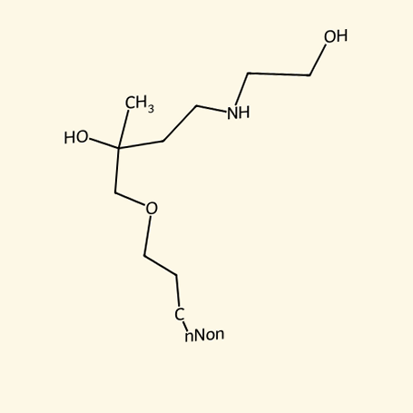 CCCCCCCCCCCCOCC(C)(O)CCNCCO